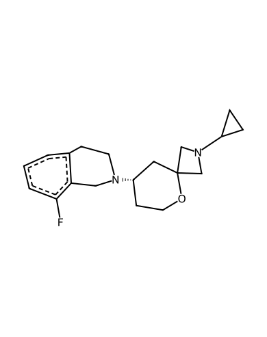 Fc1cccc2c1CN([C@H]1CCOC3(C1)CN(C1CC1)C3)CC2